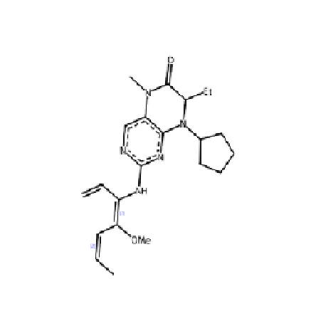 C=C/C(Nc1ncc2c(n1)N(C1CCCC1)C(CC)C(=O)N2C)=C(\C=C/C)OC